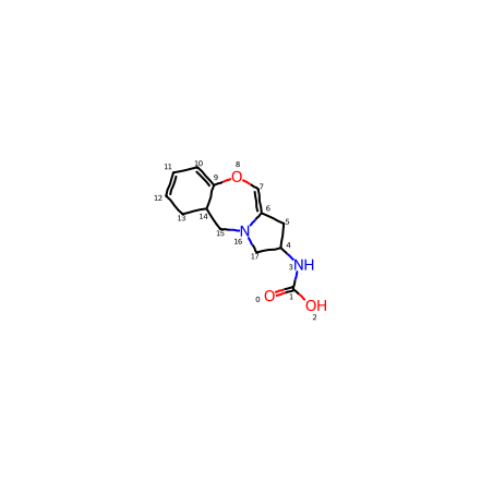 O=C(O)NC1CC2=COC3=CC=CCC3CN2C1